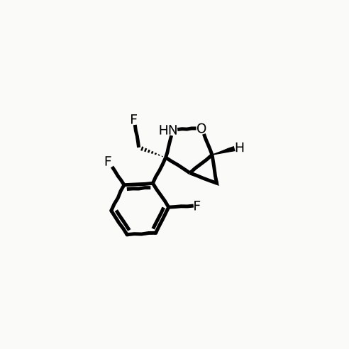 FC[C@]1(c2c(F)cccc2F)NO[C@@H]2CC21